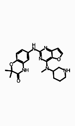 CN(c1nc(Nc2ccc3c(c2)NC(=O)C(C)(C)O3)nc2ccoc12)C1CCCNC1